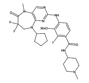 COc1c(Nc2ncc3c(n2)N(C2CCCC2)CC(F)(F)C(=O)N3C)ccc(C(=O)NC2CCN(C)CC2)c1F